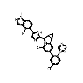 O=c1cc(-c2cc(Cl)ccc2-n2cnnn2)cc2n1C(c1ncc(-c3ccc4[nH]ncc4c3F)[nH]1)C1CC21